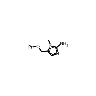 CC(C)OCc1cnc(N)n1C